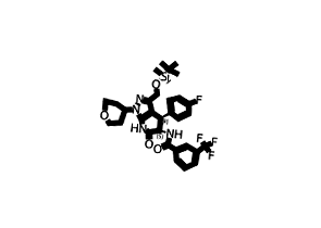 CC(C)(C)[Si](C)(C)OCc1nn(C2CCOCC2)c2c1[C@@H](c1ccc(F)cc1)[C@H](NC(=O)c1cccc(C(F)(F)F)c1)C(=O)N2